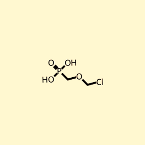 O=P(O)(O)COCCl